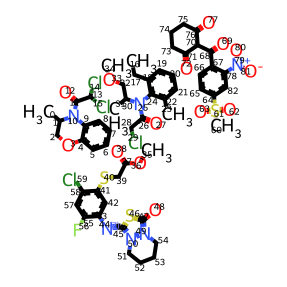 CC1COc2ccccc2N1C(=O)C(Cl)Cl.CCc1cccc(C)c1N(C(=O)CCl)C(C)COC.COC(=O)CSc1cc(/N=c2\sc(=O)n3n2CCCC3)c(F)cc1Cl.CS(=O)(=O)c1ccc(C(=O)C2C(=O)CCCC2=O)c([N+](=O)[O-])c1